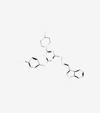 Cc1ccc(Nc2nc(N/N=C/c3c[nH]c4ccccc34)nc(N3CCC(O)CC3)n2)cc1